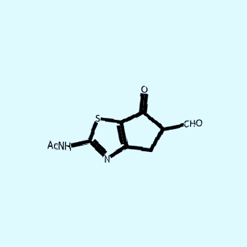 CC(=O)Nc1nc2c(s1)C(=O)C(C=O)C2